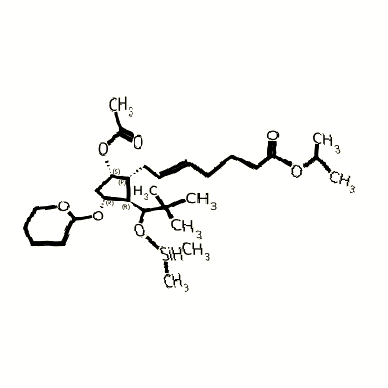 CC(=O)O[C@H]1C[C@@H](OC2CCCCO2)[C@H](C(O[SiH](C)C)C(C)(C)C)[C@H]1CC=CCCCC(=O)OC(C)C